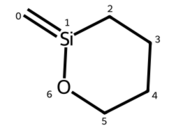 C=[Si]1CCCCO1